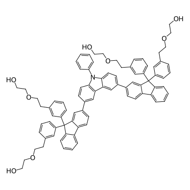 OCCOCCc1cccc(C2(c3cccc(CCOCCO)c3)c3ccccc3-c3ccc(-c4ccc5c(c4)c4cc(-c6ccc7c(c6)C(c6cccc(CCOCCO)c6)(c6cccc(CCOCCO)c6)c6ccccc6-7)ccc4n5-c4ccccc4)cc32)c1